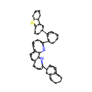 c1ccc(-c2ccc3ccc4ccc(-c5ccc6ccccc6c5)nc4c3n2)c(-c2ccc3sc4ccccc4c3c2)c1